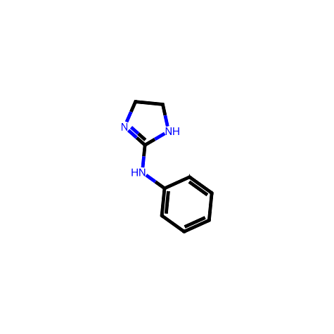 [c]1ccccc1NC1=NCCN1